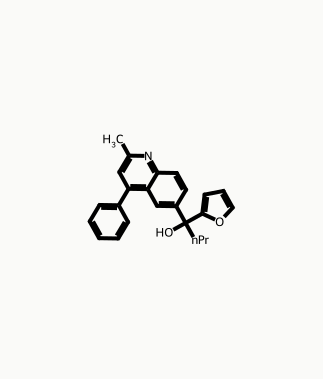 CCCC(O)(c1ccc2nc(C)cc(-c3ccccc3)c2c1)c1ccco1